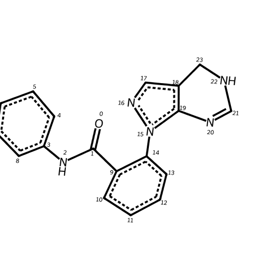 O=C(Nc1ccccc1)c1ccccc1-n1ncc2c1N=CNC2